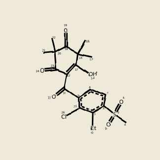 CCc1c(S(C)(=O)=O)ccc(C(=O)C2=C(O)C(C)(C)C(=O)C(C)(C)C2=O)c1Cl